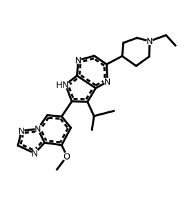 CCN1CCC(c2cnc3[nH]c(-c4cc(OC)c5ncnn5c4)c(C(C)C)c3n2)CC1